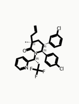 C=CC[C@@]1(C)C[C@H](c2cccc(Cl)c2)[C@@H](c2ccc(Cl)cc2)N([C@H](CC(F)(F)F)c2ccccn2)C1=O